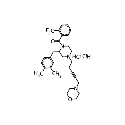 Cc1ccc(CC2CN(CCC#CCN3CCOCC3)CCN2C(=O)c2ccccc2C(F)(F)F)cc1C.Cl.Cl